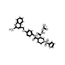 Cc1cc(COc2ccc(NC(=O)C3CCN(S(=O)(=O)c4cccs4)C[C@@H]3C(=O)NOC(=O)C(F)(F)F)cc2)c2ccccc2n1